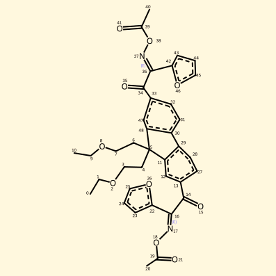 CCOCCC1(CCOCC)c2cc(C(=O)/C(=N/OC(C)=O)c3ccco3)ccc2-c2ccc(C(=O)/C(=N/OC(C)=O)c3ccco3)cc21